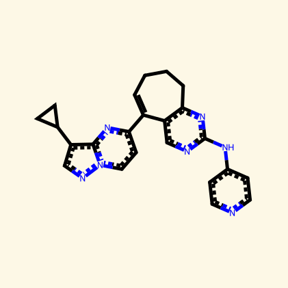 C1=C(c2ccn3ncc(C4CC4)c3n2)c2cnc(Nc3ccncc3)nc2CCC1